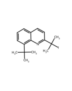 CC(C)(C)c1cccc2ccc(C(C)(C)I)nc12